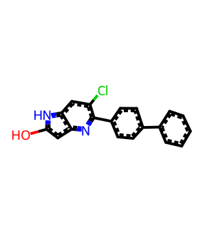 Oc1cc2nc(-c3ccc(-c4ccccc4)cc3)c(Cl)cc2[nH]1